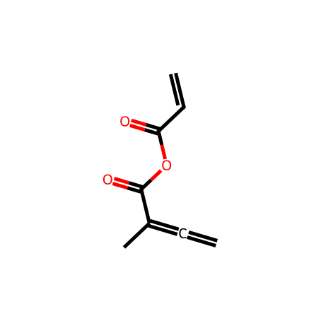 C=C=C(C)C(=O)OC(=O)C=C